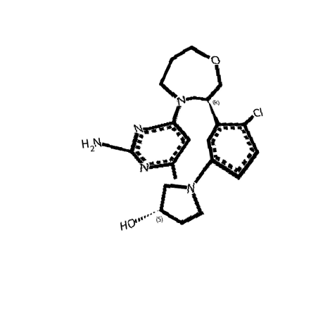 Cc1cc(N2CCCOC[C@H]2c2cc(N3CC[C@H](O)C3)ccc2Cl)nc(N)n1